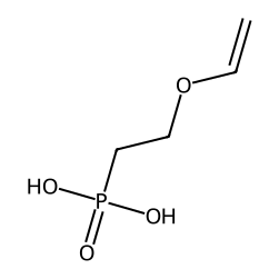 C=COCCP(=O)(O)O